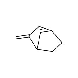 C=C1C=C2CCC1C2